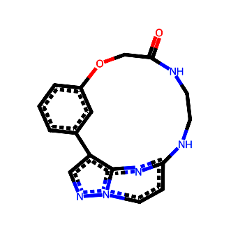 O=C1COc2cccc(c2)-c2cnn3ccc(nc23)NCCN1